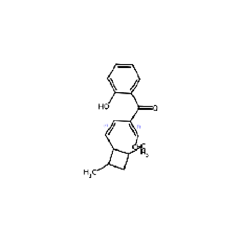 C/C=C(\C=C/C1C(C)CC1C)C(=O)c1ccccc1O